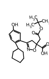 CC(C)(C)OC(=O)CC1(C(=O)O)CC(c2cc(O)ccc2C2CCCCC2)=NO1